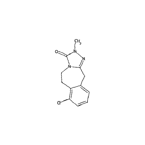 Cn1nc2n(c1=O)CCc1c(Cl)cccc1C2